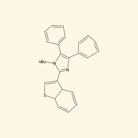 CCCCn1c(C2=CSC3C=CC=CC23)nc(-c2ccccc2)c1-c1ccccc1